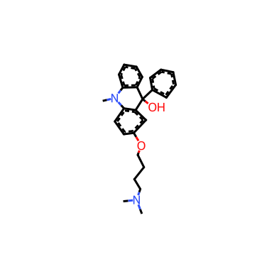 CN(C)CCCCOc1ccc2c(c1)C(O)(c1ccccc1)c1ccccc1N2C